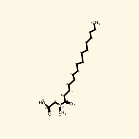 CCCCCCCCCCCCCCCC(=O)N(C)CC(=O)O